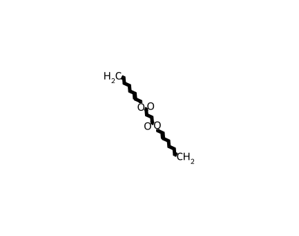 C=CCCCC=CCOC(=O)CCC(=O)OCC=CCCCC=C